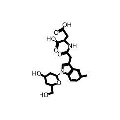 Cc1ccc2c(c1)c(CC(=O)NC(CC(=O)O)C(=O)O)cn2[C@H]1CC(O)CC(CO)O1